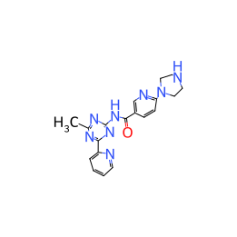 Cc1nc(NC(=O)c2ccc(N3CCNCC3)nc2)nc(-c2ccccn2)n1